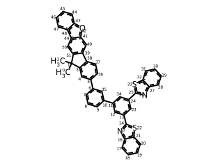 CC1(C)c2cc(-c3cccc(-c4cc(-c5nc6ccccc6s5)cc(-c5nc6ccccc6s5)c4)c3)ccc2-c2cc3oc4ccccc4c3cc21